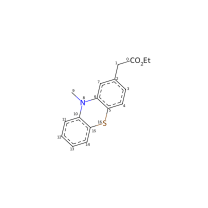 CCOC(=O)Cc1ccc2c(c1)N(C)c1ccccc1S2